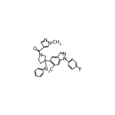 Cc1cc2c(cnn2-c2ccc(F)cc2)cc1C1(Cc2ccccc2)CCN(C(=O)c2cnn(C)c2)C1